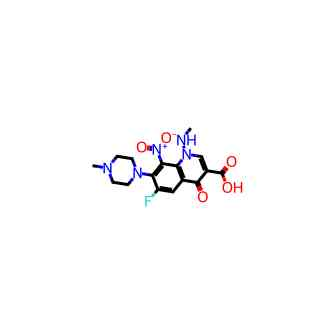 CNn1cc(C(=O)O)c(=O)c2cc(F)c(N3CCN(C)CC3)c([N+](=O)[O-])c21